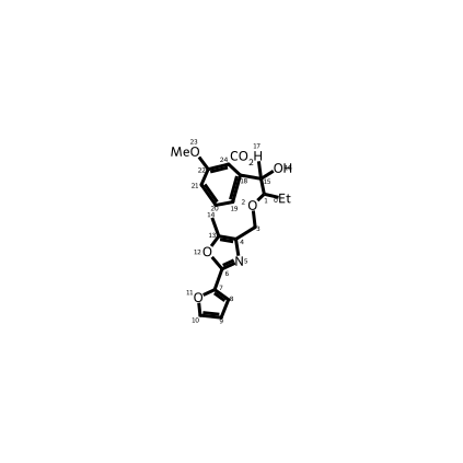 CCC(OCc1nc(-c2ccco2)oc1C)C(O)(C(=O)O)c1cccc(OC)c1